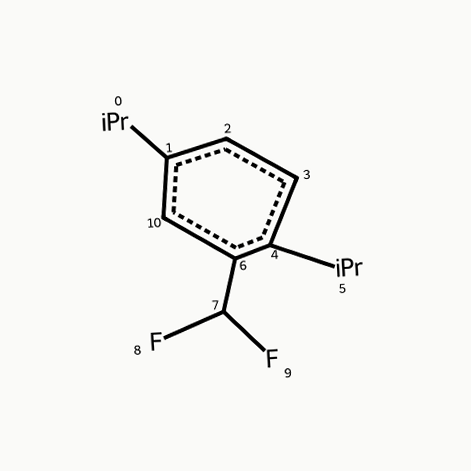 CC(C)c1ccc(C(C)C)c(C(F)F)c1